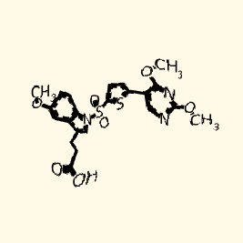 COc1ccc2c(c1)c(CCC(=O)O)cn2S(=O)(=O)c1ccc(-c2cnc(OC)nc2OC)s1